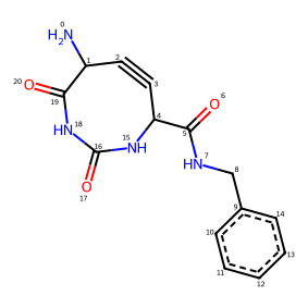 NC1C#CC(C(=O)NCc2ccccc2)NC(=O)NC1=O